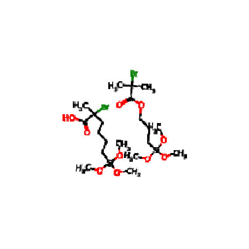 CO[Si](CCCCC(C)(Br)C(=O)O)(OC)OC.CO[Si](CCCOC(=O)C(C)(C)Br)(OC)OC